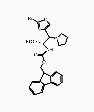 CCOC(=O)[C@@H](NC(=O)OCC1c2ccccc2-c2ccccc21)[C@@H](c1coc(Br)n1)N1CCCC1